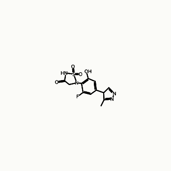 CC1=NN=CC1c1cc(O)c(N2CC(=O)NS2(=O)=O)c(F)c1